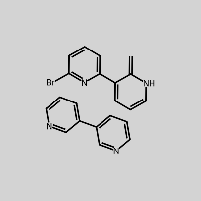 C=C1NC=CC=C1c1cccc(Br)n1.c1cncc(-c2cccnc2)c1